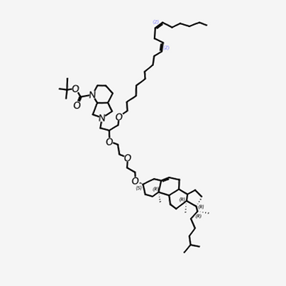 CCCCC/C=C\C/C=C\CCCCCCCCOCC(CN1CC2CCCN(C(=O)OC(C)(C)C)C2C1)OCCOCCO[C@H]1CC[C@@]2(C)C(=CCC3C2CC[C@@]2(C)C3CC[C@@H]2[C@H](C)CCCC(C)C)C1